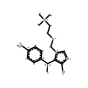 CCc1ncn(COCC[Si](C)(C)C)c1[C@@H](C)c1ccc(N)cc1